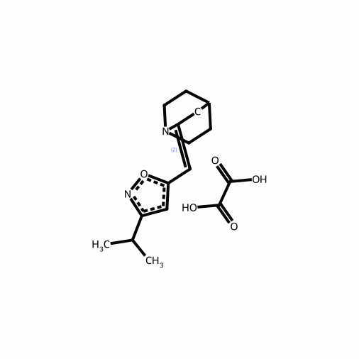 CC(C)c1cc(/C=C2/CC3CCN2CC3)on1.O=C(O)C(=O)O